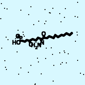 CCCCCCCCCCC(=O)C(CCCC(=O)CCC(O)P=O)=NN